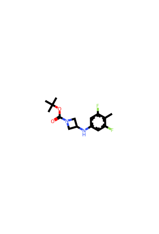 Cc1c(F)cc(NC2CN(C(=O)OC(C)(C)C)C2)cc1F